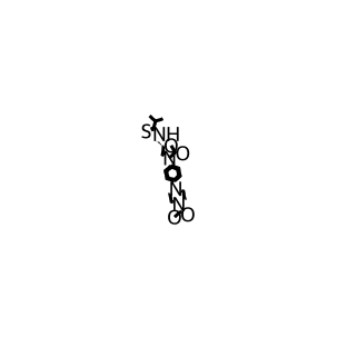 COC(=O)N1CCN(c2ccc(N3C[C@H](CNC(=S)C(C)C)OC3=O)cc2)CC1